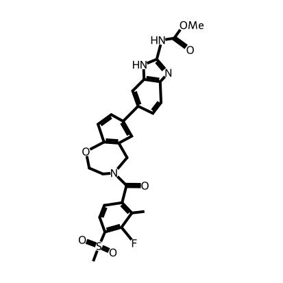 COC(=O)Nc1nc2ccc(-c3ccc4c(c3)CN(C(=O)c3ccc(S(C)(=O)=O)c(F)c3C)CCO4)cc2[nH]1